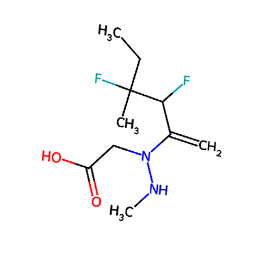 C=C(C(F)C(C)(F)CC)N(CC(=O)O)NC